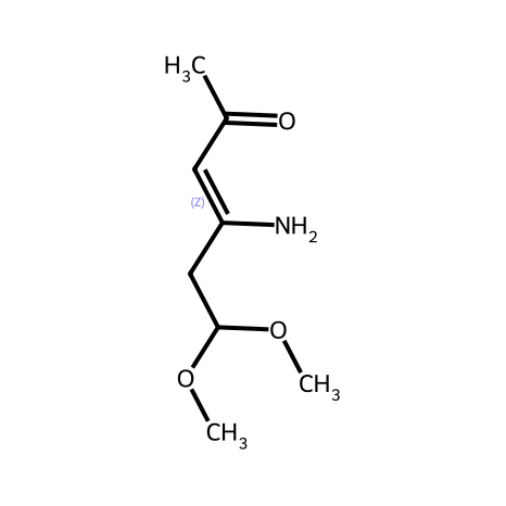 COC(C/C(N)=C/C(C)=O)OC